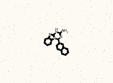 NC1=NC(c2ccc3ccccc3c2)n2c(nc3ccccc32)N1